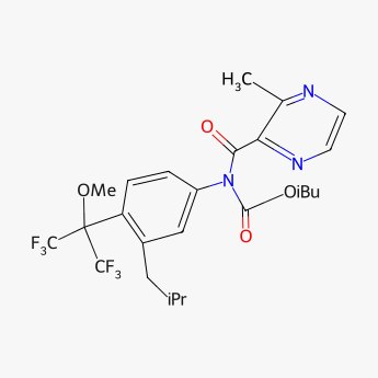 COC(c1ccc(N(C(=O)OCC(C)C)C(=O)c2nccnc2C)cc1CC(C)C)(C(F)(F)F)C(F)(F)F